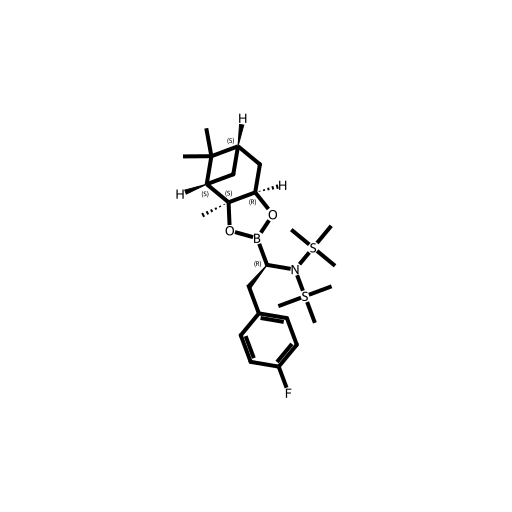 CC1(C)[C@@H]2C[C@H]3OB([C@H](Cc4ccc(F)cc4)N(S(C)(C)C)S(C)(C)C)O[C@@]3(C)[C@H]1C2